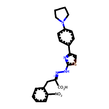 O=C(O)/C(Cc1ccccc1[N+](=O)[O-])=N\Nc1nc(-c2ccc(N3CCCC3)cc2)cs1